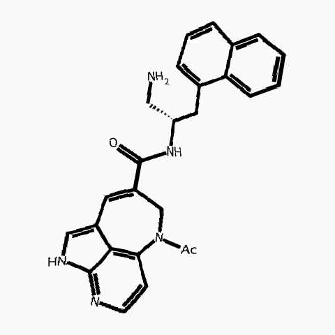 CC(=O)N1CC(C(=O)N[C@H](CN)Cc2cccc3ccccc23)=Cc2c[nH]c3nccc1c23